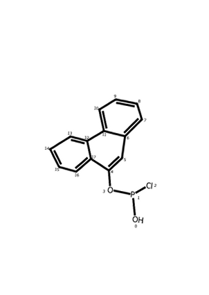 OP(Cl)Oc1cc2ccccc2c2ccccc12